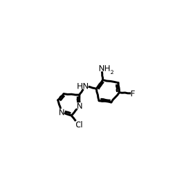 Nc1cc(F)ccc1Nc1ccnc(Cl)n1